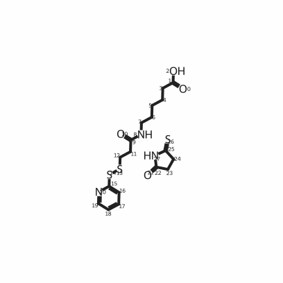 O=C(O)CCCCCNC(=O)CCSSc1ccccn1.O=C1CCC(=S)N1